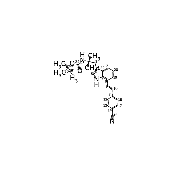 CC(C)(Cc1c[nH]c2c(C=Cc3ccc(C#N)cc3)cccc12)NC(=O)OC(C)(C)C